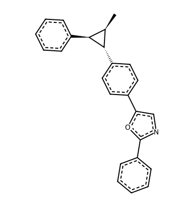 C[C@@H]1[C@H](c2ccccc2)[C@H]1c1ccc(-c2cnc(-c3ccccc3)o2)cc1